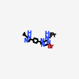 CC(C)CNc1nc(Br)cn2cc(-c3ccc(-c4cnc(C5CC5)[nH]4)cc3)nc12